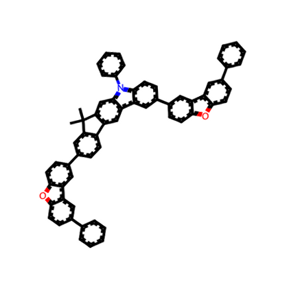 CC1(C)c2cc(-c3ccc4oc5ccc(-c6ccccc6)cc5c4c3)ccc2-c2cc3c4cc(-c5ccc6oc7ccc(-c8ccccc8)cc7c6c5)ccc4n(-c4ccccc4)c3cc21